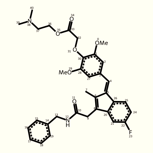 COc1cc(C=C2C(C)=C(CC(=O)NCc3ccccc3)c3cc(F)ccc32)cc(OC)c1OCC(=O)OCCN(C)C